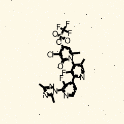 Cc1nc(C)n(-c2nccc(-c3ncc(C)c(-n4c(C)cc(OS(=O)(=O)C(F)(F)F)c(Cl)c4=O)c3F)c2F)n1